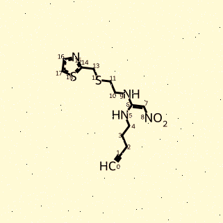 C#CCCCNC(=C[N+](=O)[O-])NCCSCc1nccs1